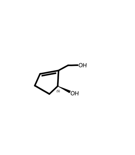 OCC1=CCC[C@@H]1O